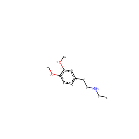 CCNCCc1ccc(OC)c(OC)c1